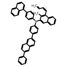 C=C/C=C\c1c(C)c(N(c2ccc(-c3ccc4cc(-c5ccccc5)ccc4c3)cc2)c2ccc(-c3cccc4ccccc34)cc2)cc2ccccc12